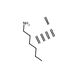 C=C.C=C.C=C.C=C.C=C.CCCCCCN